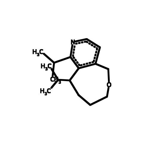 CC(C)c1nccc2c1C(C(C)C)CCCOC2